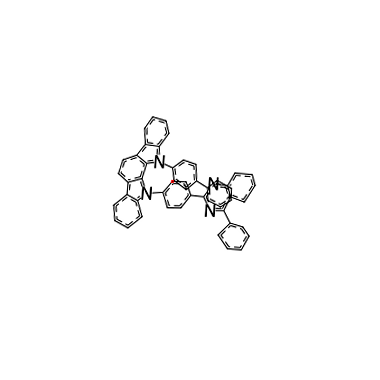 c1ccc(-c2ccc(-n3c4ccccc4c4ccc5c6ccccc6n(-c6ccc(-c7nc(-c8ccccc8)c8ccccc8n7)cc6)c5c43)cc2)cc1